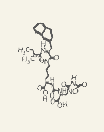 CC[C@@H](C)C(=O)N[C@@H](Cc1ccc2ccccc2c1)C(=O)NCCCC[C@H](NC(=O)N[C@@H](Cn1oc(=O)[nH]c1=O)C(=O)O)C(=O)O